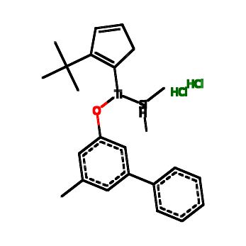 Cc1cc([O][Ti]([C]2=C(C(C)(C)C)C=CC2)[SiH](C)C)cc(-c2ccccc2)c1.Cl.Cl